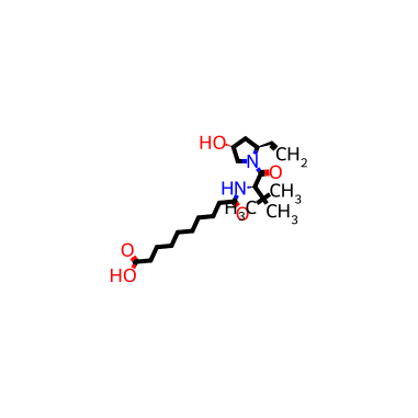 C=C[C@@H]1C[C@@H](O)CN1C(=O)[C@@H](NC(=O)CCCCCCCCC(=O)O)C(C)(C)C